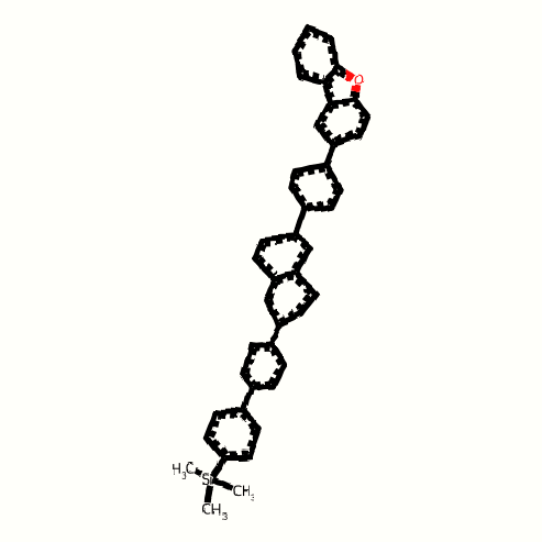 C[Si](C)(C)c1ccc(-c2ccc(-c3ccc4cc(-c5ccc(-c6ccc7oc8ccccc8c7c6)cc5)ccc4c3)cc2)cc1